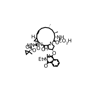 CCn1nc(O[C@@H]2C[C@H]3C(=O)N[C@]4(C(=O)NS(=O)(=O)C5(C)CC5)C[C@H]4/C=C\CC[C@H](C)C[C@@H](C)[C@H](NC(=O)O)C(=O)N3C2)c2ccccc2c1=O